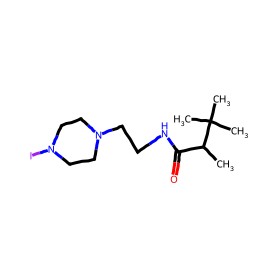 CC(C(=O)NCCN1CCN(I)CC1)C(C)(C)C